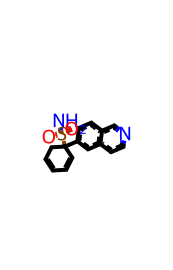 NS(=O)(=O)C1(c2ccc3cnccc3c2)C=CC=CC1